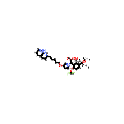 COC(C)(C)c1ccc(OC(F)F)c(C(C(=O)O)N2CC[C@@H](OCCCCCc3ccc4c(n3)NCCC4)C2)c1